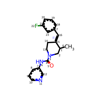 CC1CN(C(=O)Nc2cccnc2)CC/C1=C\c1cccc(F)c1